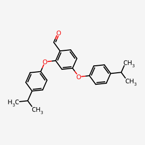 CC(C)c1ccc(Oc2ccc(C=O)c(Oc3ccc(C(C)C)cc3)c2)cc1